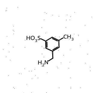 Cc1cc(CN)[c]c(S(=O)(=O)O)c1